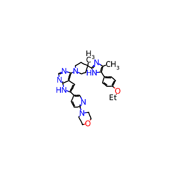 CCOc1ccc(-c2[nH]c(C3(C)CCN(c4ncnc5[nH]c(-c6ccc(N7CCOCC7)nc6)cc45)CC3)nc2C)cc1